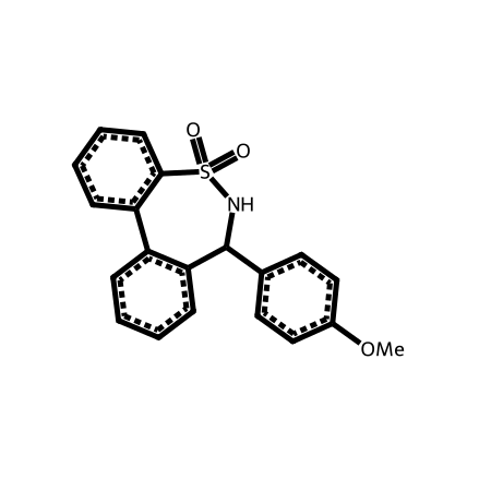 COc1ccc(C2NS(=O)(=O)c3ccccc3-c3ccccc32)cc1